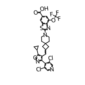 O=C(O)c1cc(OC(F)(F)F)c2nc(N3CCC4(CC3)CC(=Cc3c(-c5c(Cl)cncc5Cl)noc3C3CC3)C4)sc2c1